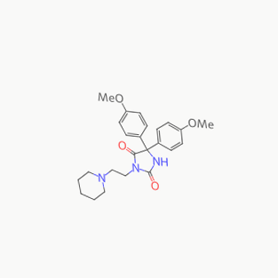 COc1ccc(C2(c3ccc(OC)cc3)NC(=O)N(CCN3CCCCC3)C2=O)cc1